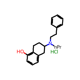 CCCN(CCc1ccccc1)C1CCc2c(O)cccc2C1.Cl